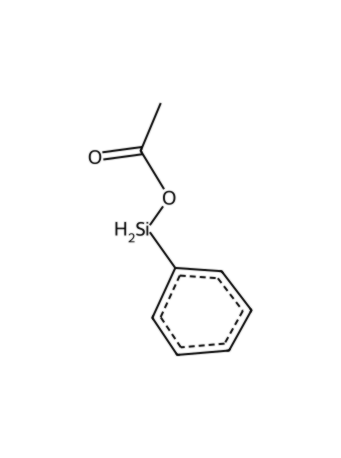 CC(=O)O[SiH2]c1ccccc1